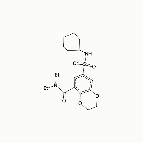 CCN(CC)C(=O)c1cc(S(=O)(=O)NC2CCCCC2)cc2c1OCCO2